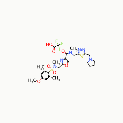 COc1cc(C)c(S(=O)(=O)N(C)Cc2nc(C(=O)N(C)Cc3nnc(CN4CCCC4)s3)co2)c(C)c1.O=C(O)C(F)(F)F